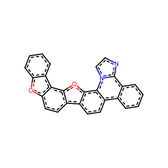 c1ccc2c(c1)oc1ccc3c4ccc5c6ccccc6c6nccn6c5c4oc3c12